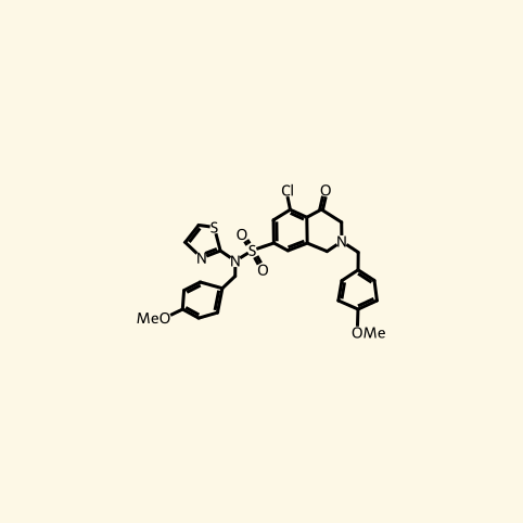 COc1ccc(CN2CC(=O)c3c(Cl)cc(S(=O)(=O)N(Cc4ccc(OC)cc4)c4nccs4)cc3C2)cc1